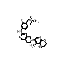 Cc1c(N2CCc3cnc(Nc4ccc(CS(C)(=O)=O)c(F)c4)nc3C2)cnc2c1NCCO2